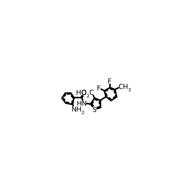 Cc1ccc(-c2csc(NC(=O)c3ccccc3N)c2C(=O)O)c(F)c1F